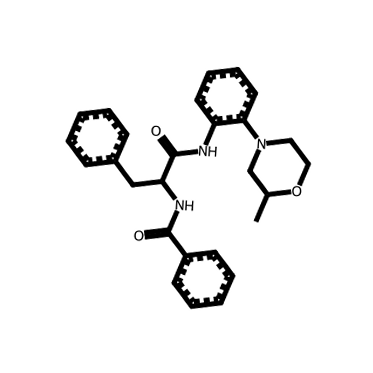 CC1CN(c2ccccc2NC(=O)C(Cc2ccccc2)NC(=O)c2ccccc2)CCO1